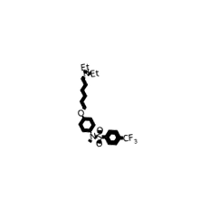 CCN(CC)CCCCCCO[C@H]1CC[C@H](N(C)S(=O)(=O)c2ccc(C(F)(F)F)cc2)CC1